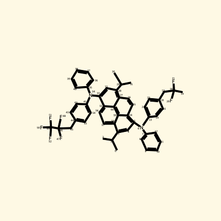 CC(C)c1cc(N(c2ccccc2)c2ccc(CC(C)(F)F)cc2)c2ccc3c(C(C)C)cc(N(c4ccccc4)c4ccc(CC(F)(F)C(F)(F)F)cc4)c4ccc1c2c34